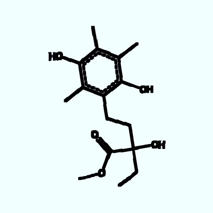 CCC(O)(CCc1c(C)c(O)c(C)c(C)c1O)C(=O)OC